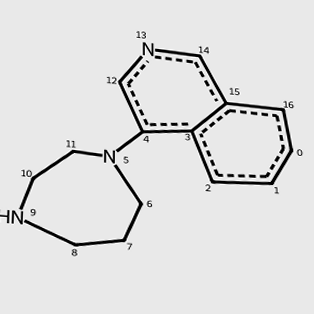 c1ccc2c(N3CCCNCC3)cncc2c1